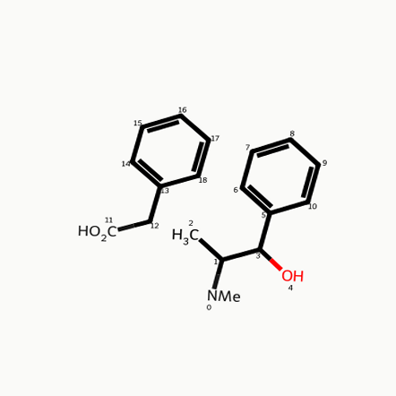 CNC(C)C(O)c1ccccc1.O=C(O)Cc1ccccc1